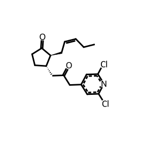 CC/C=C\C[C@@H]1C(=O)CC[C@H]1CC(=O)Cc1cc(Cl)nc(Cl)c1